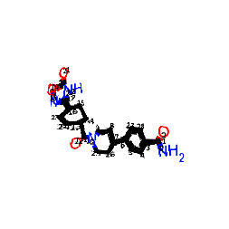 NC(=O)c1ccc(C2CCN(C(=O)C3CCC(c4noc(=O)[nH]4)CC3)CC2)cc1